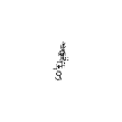 C[C@H](c1ccc2scnc2c1)N1CCC2(CC1)CN(c1ncc(/N=[SH](\C)=O)cn1)C(=O)N2